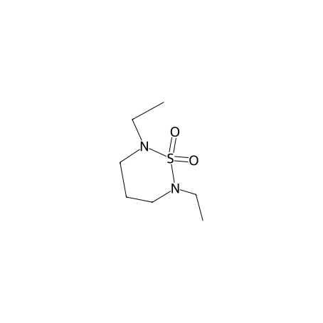 CCN1CCCN(CC)S1(=O)=O